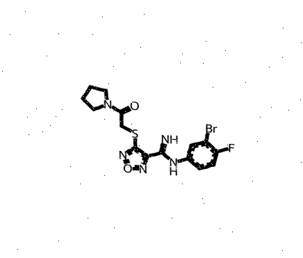 N=C(Nc1ccc(F)c(Br)c1)c1nonc1SCC(=O)N1CCCC1